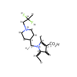 C=c1c(C(=O)O)c(C)n([C@H](C)C2CCN(CC(C)(F)F)CC2)/c1=C/C